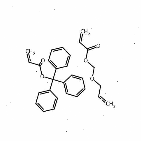 C=CC(=O)OC(c1ccccc1)(c1ccccc1)c1ccccc1.C=CCOCOC(=O)C=C